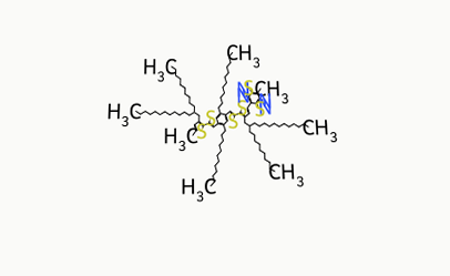 CCCCCCCCCCCCc1c2cc(-c3sc(-c4c5nnsc5c(C)c5nnsc45)cc3CC(CCCCCCCCCC)CCCCCCCCCCCC)sc2c(CCCCCCCCCCCC)c2cc(-c3sc(C)cc3CC(CCCCCCCCCC)CCCCCCCCCCCC)sc12